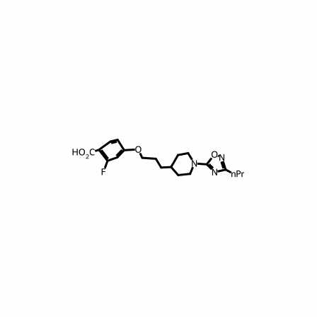 CCCc1noc(N2CCC(CCCOc3ccc(C(=O)O)c(F)c3)CC2)n1